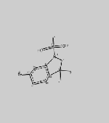 CC1(C)CN(S(C)(=O)=O)c2cc(Br)ccc21